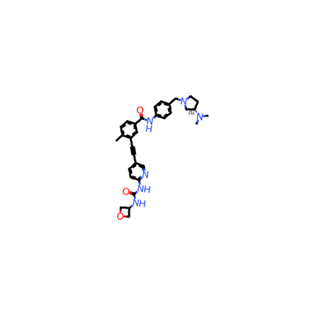 Cc1ccc(C(=O)Nc2ccc(CN3CC[C@H](N(C)C)C3)cc2)cc1C#Cc1ccc(NC(=O)NC2COC2)nc1